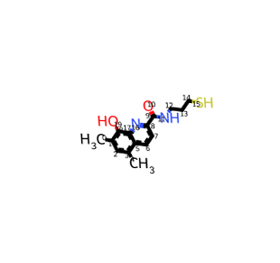 Cc1cc(C)c2ccc(C(=O)NCCCS)nc2c1O